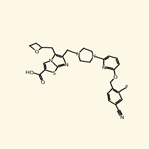 N#Cc1ccc(COc2cccc(N3CCN(Cc4nc5sc(C(=O)O)cn5c4CC4CCO4)CC3)n2)c(F)c1